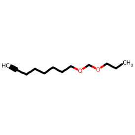 C#CCCCCCCOCOCCC